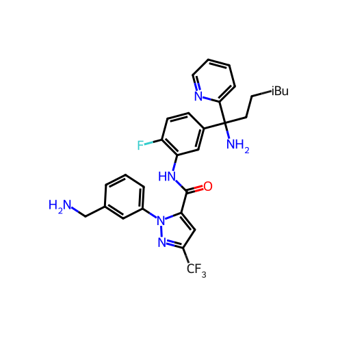 CCC(C)CCC(N)(c1ccc(F)c(NC(=O)c2cc(C(F)(F)F)nn2-c2cccc(CN)c2)c1)c1ccccn1